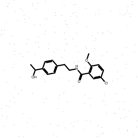 COc1ccc(Cl)cc1C(=O)NCCc1ccc(C(C)O)cc1